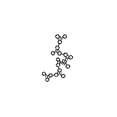 c1ccc(-c2cc(-n3c4ccccc4c4ccc(-c5ccc6c(c5)c5cc(-c7ccc8c(c7)c7ccccc7n8-c7ccccc7)ccc5n6-c5ccccc5)cc43)nc(-n3c4ccccc4c4ccc(-c5ccc6c(c5)c5cc(-c7ccc8c(c7)c7ccccc7n8-c7ccccc7)ccc5n6-c5ccccc5)cc43)n2)cc1